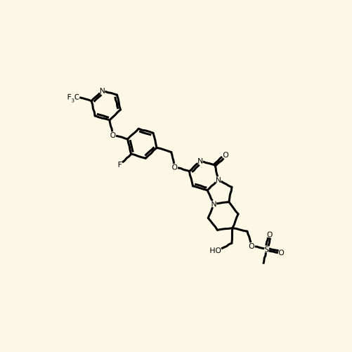 CS(=O)(=O)OCC1(CO)CCN2c3cc(OCc4ccc(Oc5ccnc(C(F)(F)F)c5)c(F)c4)nc(=O)n3CC2C1